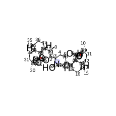 C[C@H]1[C@@H](/C(C[C@H]2O[C@@H]3C[C@]4(C)CC[C@H]5[C@H](C)CC[C@@H]([C@H]2C)[C@@]35OO4)=N\O)O[C@@H]2C[C@]3(C)CC[C@H]4[C@H](C)CC[C@@H]1[C@@]24OO3